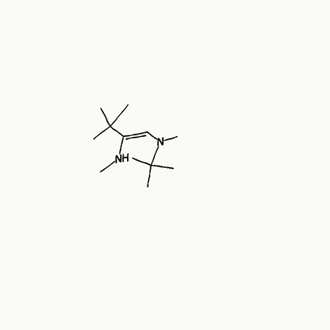 CN/C(=C\N(C)C(C)(C)C)C(C)(C)C